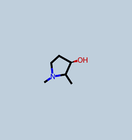 CC1[C@H](O)CCN1C